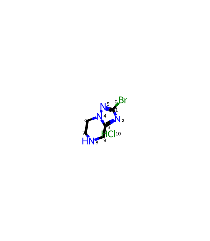 Brc1nc2n(n1)CCNC2.Cl